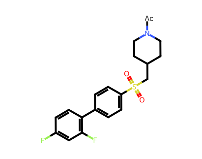 CC(=O)N1CCC(CS(=O)(=O)c2ccc(-c3ccc(F)cc3F)cc2)CC1